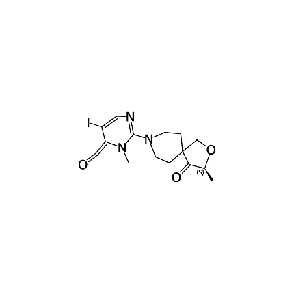 C[C@@H]1OCC2(CCN(C3=NC=C(I)C(=C=O)N3C)CC2)C1=O